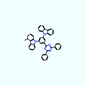 CC1CC=Cc2c1c1ccccc1n2-c1cc(-c2nc(-c3ccccc3)nc(-c3ccccc3)n2)cc(-n2c3ccccc3c3ccccc32)c1